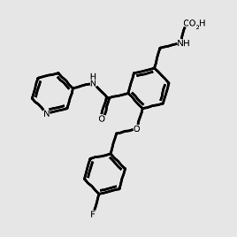 O=C(O)NCc1ccc(OCc2ccc(F)cc2)c(C(=O)Nc2cccnc2)c1